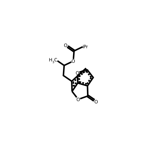 CC(Cc1c2c3oc1cc3C(=O)O2)OC(=O)C(C)C